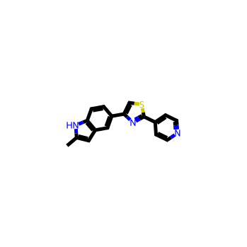 Cc1cc2cc(-c3csc(-c4ccncc4)n3)ccc2[nH]1